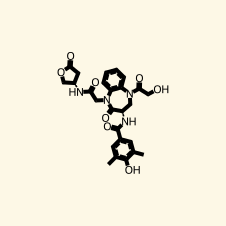 Cc1cc(C(=O)N[C@H]2CN(C(=O)CO)c3ccccc3N(CC(=O)N[C@@H]3COC(=O)C3)C2=O)cc(C)c1O